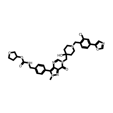 Cn1nc2c(=O)n(CC3(O)CCN(Cc4ccc(-c5cnco5)cc4Cl)CC3)cnc2c1-c1ccc(CNC(=O)OC2CCOC2)cc1